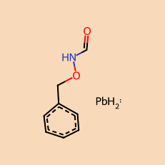 O=CNOCc1ccccc1.[PbH2]